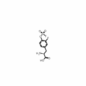 N[C@@H](Cc1ccc(OS(=O)(=O)F)c(F)c1)C(=O)O